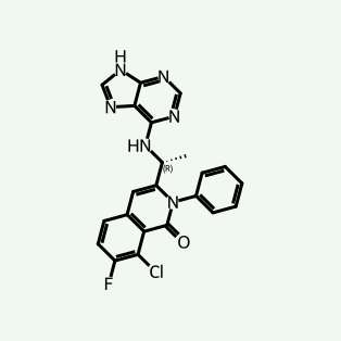 C[C@@H](Nc1ncnc2[nH]cnc12)c1cc2ccc(F)c(Cl)c2c(=O)n1-c1ccccc1